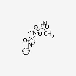 Cc1oncc1S(=O)(=O)N1CCCC2(CCN(c3ccccc3)C2=O)C1